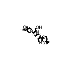 C[C@H]1CC2(CCN(c3ncc(Sc4ccnc5c4OCCC4(CC4)N5C)nc3CO)CC2)CO1